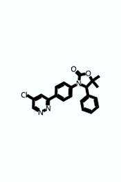 CC1(C)OC(=O)N(c2ccc(-c3cc(Cl)cnn3)cc2)C1c1ccccc1